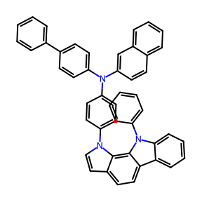 c1ccc(-c2ccc(N(c3ccc(-n4ccc5ccc6c7ccccc7n(-c7ccccc7)c6c54)cc3)c3ccc4ccccc4c3)cc2)cc1